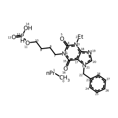 CCCC.CCn1c(=O)n(CCCCO[PH](=O)O)c(=O)c2c1ncn2Cc1ccccc1